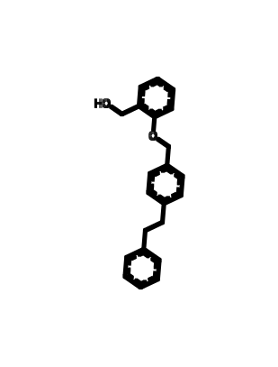 OCc1ccccc1OCc1ccc(CCc2ccccc2)cc1